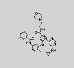 Cc1cccc(C(=O)Nc2ccc(C)c(Nc3cc(C(=O)NCCN4CCOCC4)nn3-c3cc(NC4CC4)ncn3)c2)c1